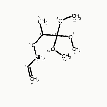 C=C[SiH2]OC(C)C(OC)(OC)OC